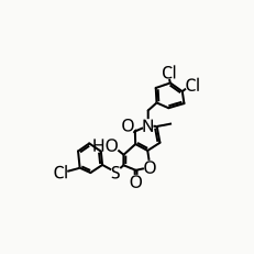 Cc1cc2oc(=O)c(Sc3cccc(Cl)c3)c(O)c2c(=O)n1Cc1ccc(Cl)c(Cl)c1